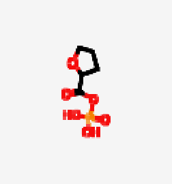 O=C(OP(=O)(O)O)C1CCCO1